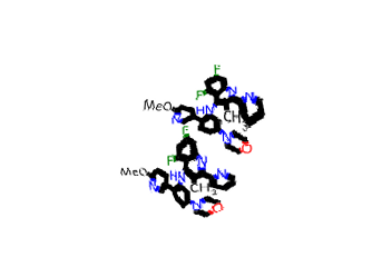 COc1ccc(-c2ccc(N3CCOCC3)cc2Nc2c(C)c(-c3ccccn3)nc3cc(F)cc(F)c23)cn1.COc1ccc(-c2ccc(N3CCOCC3)cc2Nc2c(C)c(-c3ccccn3)nc3cc(F)cc(F)c23)cn1